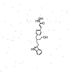 O=C(/C=C/c1ccc(CC(CCO)CCc2c[nH]c3ccccc23)cc1)NO